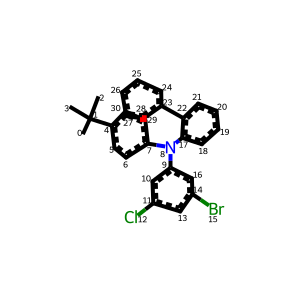 CC(C)(C)c1ccc(N(c2cc(Cl)cc(Br)c2)c2ccccc2-c2ccccc2)cc1